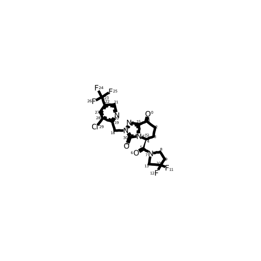 O=C1CC[C@@H](C(=O)N2CCC(F)(F)C2)n2c1nn(Cc1ncc(C(F)(F)F)cc1Cl)c2=O